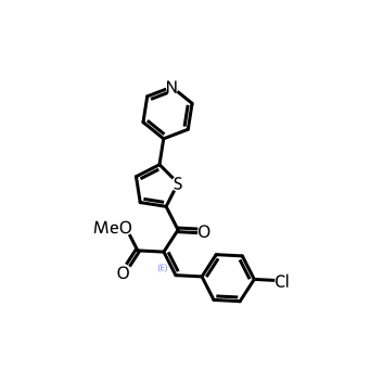 COC(=O)/C(=C/c1ccc(Cl)cc1)C(=O)c1ccc(-c2ccncc2)s1